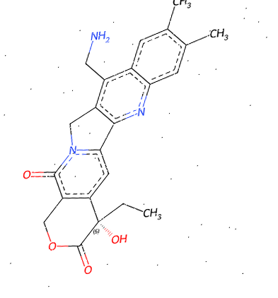 CC[C@@]1(O)C(=O)OCc2c1cc1n(c2=O)Cc2c-1nc1cc(C)c(C)cc1c2CN